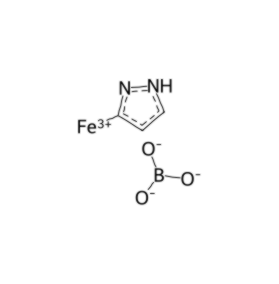 [Fe+3][c]1cc[nH]n1.[O-]B([O-])[O-]